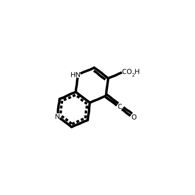 O=C=C1C(C(=O)O)=CNc2cnccc21